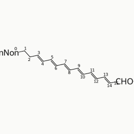 CCCCCCCCCCCC=CC=CC=CC=CC=CC=C[C]=O